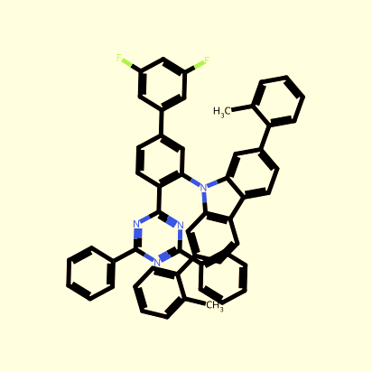 Cc1ccccc1-c1ccc2c3ccc(-c4ccccc4C)cc3n(-c3cc(-c4cc(F)cc(F)c4)ccc3-c3nc(-c4ccccc4)nc(-c4ccccc4)n3)c2c1